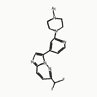 CC(=O)N1CCN(c2cc(-c3cnc4ccc(C(F)F)nn34)ccn2)CC1